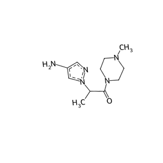 CC(C(=O)N1CCN(C)CC1)n1cc(N)cn1